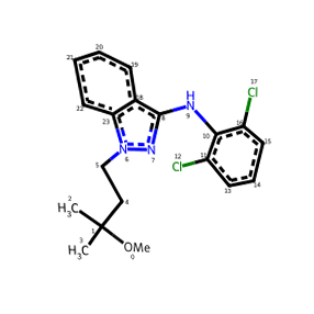 COC(C)(C)CCn1nc(Nc2c(Cl)cccc2Cl)c2ccccc21